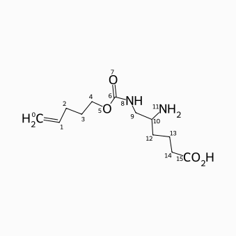 C=CCCCOC(=O)NCC(N)CCCC(=O)O